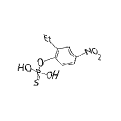 CCc1cc([N+](=O)[O-])ccc1OP(O)(O)=S